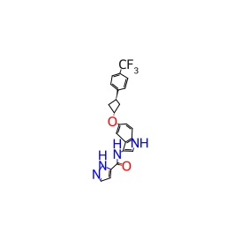 O=C(Nc1c[nH]c2ccc(O[C@H]3C[C@H](c4ccc(C(F)(F)F)cc4)C3)cc12)c1ccn[nH]1